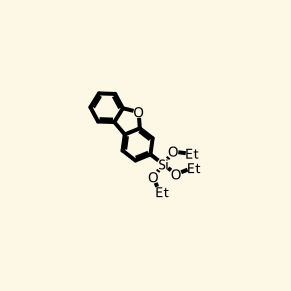 CCO[Si](OCC)(OCC)c1ccc2c(c1)oc1ccccc12